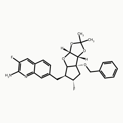 CC1(C)O[C@H]2OC3[C@H](Cc4ccc5cc(F)c(N)nc5c4)[C@@H](F)C[C@]3(OCc3ccccc3)[C@H]2O1